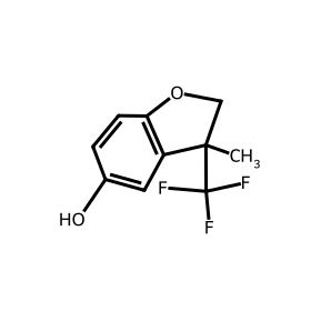 CC1(C(F)(F)F)COc2ccc(O)cc21